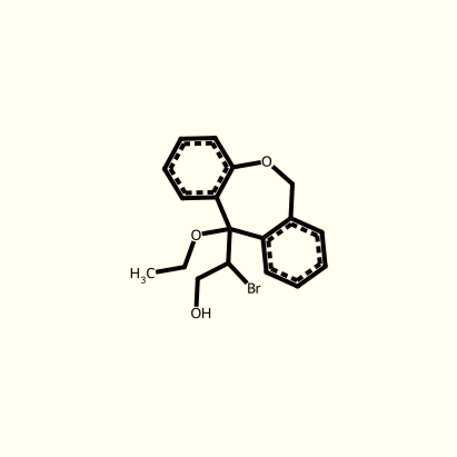 CCOC1(C(Br)CO)c2ccccc2COc2ccccc21